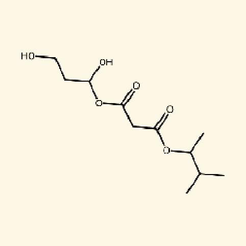 CC(C)C(C)OC(=O)CC(=O)OC(O)CCO